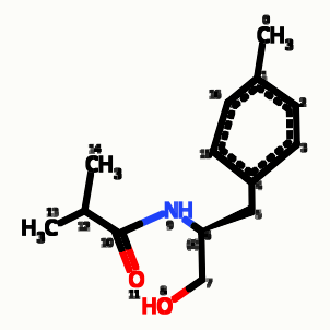 Cc1ccc(C[C@@H](CO)NC(=O)C(C)C)cc1